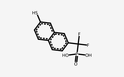 O=P(O)(O)C(F)(F)c1ccc2ccc(S)cc2c1